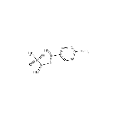 Cc1ccc(C(=N)OC(=N)S(C)(=O)=O)cc1